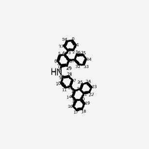 c1ccc(-c2ccc(Nc3ccc(-c4cc5ccccc5c5ccccc45)cc3)cc2-c2ccccc2)cc1